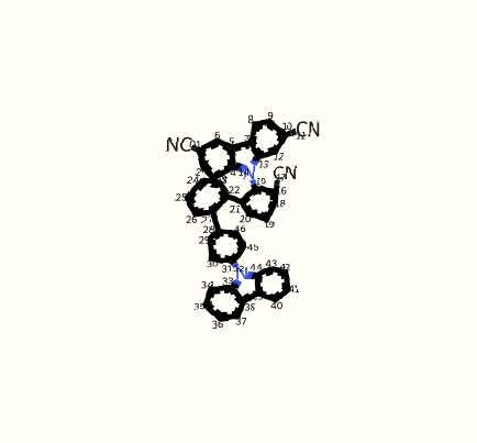 N#Cc1ccc2c(c1)c1ccc(C#N)cc1n2-c1c(C#N)cccc1-c1ccccc1-c1ccc(-n2c3ccccc3c3ccccc32)cc1